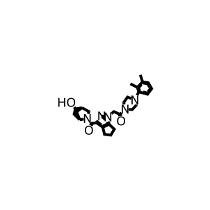 Cc1cccc(N2CCN(C(=O)Cn3nc(C(=O)N4CC5CC4CC5O)c4c3CCC4)CC2)c1C